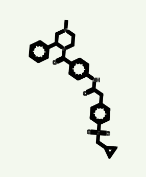 CN1CCN(C(=O)c2ccc(NC(=O)Cc3ccc(S(=O)(=O)CC4CC4)cc3)cc2)C(c2ccccc2)C1